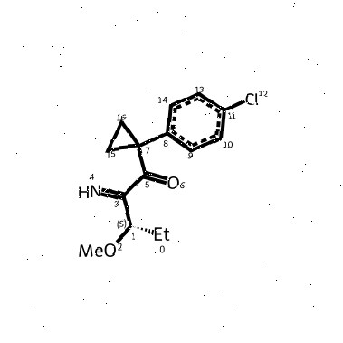 CC[C@H](OC)C(=N)C(=O)C1(c2ccc(Cl)cc2)CC1